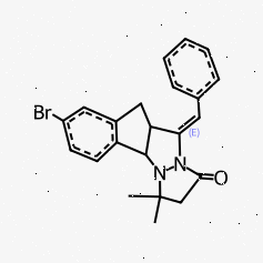 CC1(C)CC(=O)N2/C(=C/c3ccccc3)C3Cc4cc(Br)ccc4C3N21